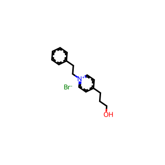 OCCCc1cc[n+](CCc2ccccc2)cc1.[Br-]